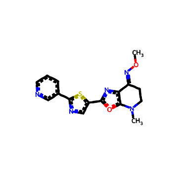 CO/N=C1\CCN(C)c2oc(-c3cnc(-c4cccnc4)s3)nc21